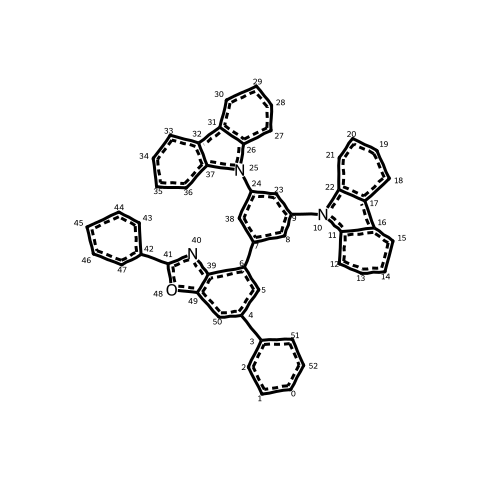 c1ccc(-c2cc(-c3cc(-n4c5ccccc5c5ccccc54)cc(-n4c5ccccc5c5ccccc54)c3)c3nc(-c4ccccc4)oc3c2)cc1